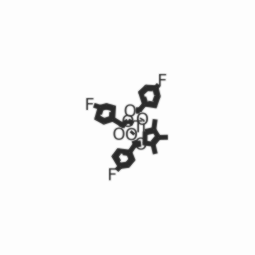 CC1=C(C)C(C)=[C]([Ti]([O]C(=O)c2ccc(F)cc2)([O]C(=O)c2ccc(F)cc2)[O]C(=O)c2ccc(F)cc2)C1